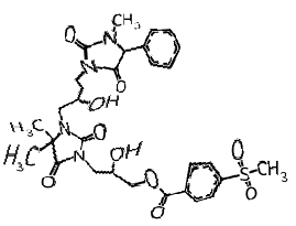 CN1C(=O)N(CC(O)CN2C(=O)N(CC(O)COC(=O)c3ccc(S(C)(=O)=O)cc3)C(=O)C2(C)C)C(=O)C1c1ccccc1